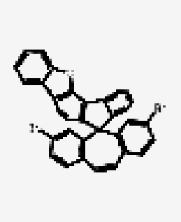 Brc1ccc2c(c1)C1(c3cc(Br)ccc3C=C2)c2ccccc2-c2c1ccc1c2oc2ccccc21